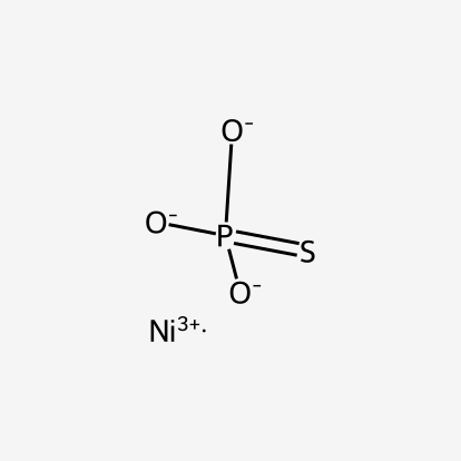 [Ni+3].[O-]P([O-])([O-])=S